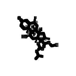 CC(C)OC(=O)O[C@]1(C(=O)OCCl)[C@H](C)C[C@H]2[C@@H]3C[C@H](F)C4=CC(=O)C=C[C@]4(C)[C@@]3(F)[C@@H](O)C[C@@]21C